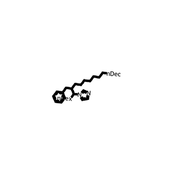 CCCCCCCCCCCCCCCCCC(Cc1ccccc1)C(CCCCCC)n1ccnc1